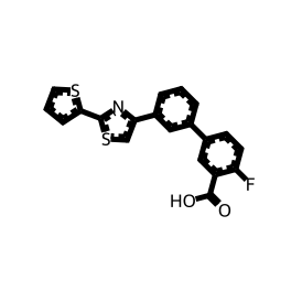 O=C(O)c1cc(-c2cccc(-c3csc(-c4cccs4)n3)c2)ccc1F